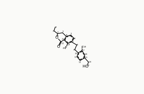 CCC1Cc2ccc(CCc3ccc(CO)cc3F)c(F)c2C(=O)O1